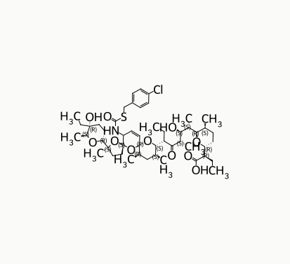 CCC(C(=O)[C@@H](C)[C@@H](O)[C@H](C)[C@@H]1O[C@@H]([C@@H](CC)C(=O)O)CC[C@@H]1C)[C@H]1O[C@]2(C=CC(NC(=O)SCc3ccc(Cl)cc3)[C@]3(CC[C@@](C)([C@H]4CC[C@](O)(CC)[C@H](C)O4)O3)O2)[C@H](C)C[C@@H]1C